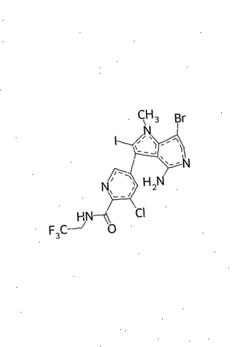 Cn1c(I)c(-c2cnc(C(=O)NCC(F)(F)F)c(Cl)c2)c2c(N)ncc(Br)c21